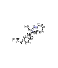 CCSC(=C\c1nc2cc(SC(F)(F)F)ccc2o1)/C=C1/C=CC=CCC1=N